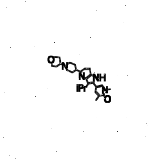 Cc1cc(-c2[nH]c3ccc(C4CCN(C5CCOCC5)CC4)nc3c2C(C)C)cn(C)c1=O